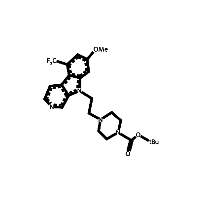 COc1cc(C(F)(F)F)c2c3ccncc3n(CCN3CCN(C(=O)OC(C)(C)C)CC3)c2c1